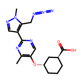 Cc1nc(-c2cnn(C)c2CN=[N+]=[N-])ncc1O[C@H]1CCC[C@H](C(=O)O)C1